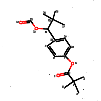 CC(C)(C)C(=O)Oc1ccc(C(OC=O)C(C)(C)C)cc1